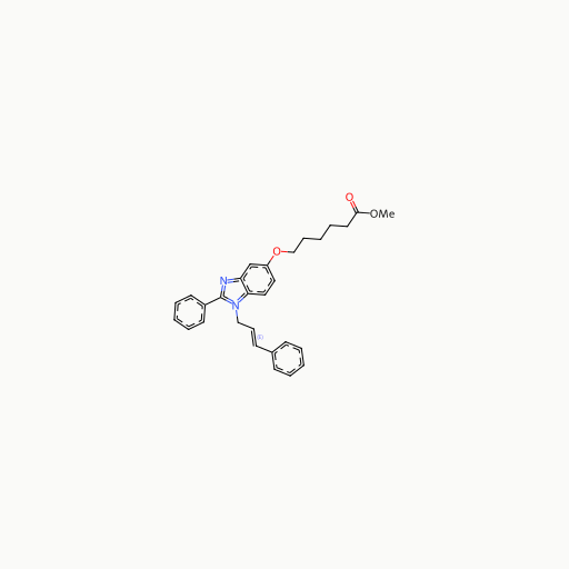 COC(=O)CCCCCOc1ccc2c(c1)nc(-c1ccccc1)n2C/C=C/c1ccccc1